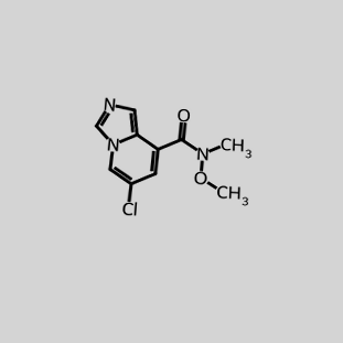 CON(C)C(=O)c1cc(Cl)cn2cncc12